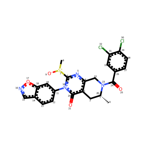 C[C@@H]1Cc2c(nc([S+](C)[O-])n(-c3ccc4[c]noc4c3)c2=O)CN1C(=O)c1ccc(Cl)c(Cl)c1